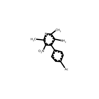 CC(=O)c1ccc(-c2c(N)c(C)nc(C)c2[N+](=O)[O-])cc1